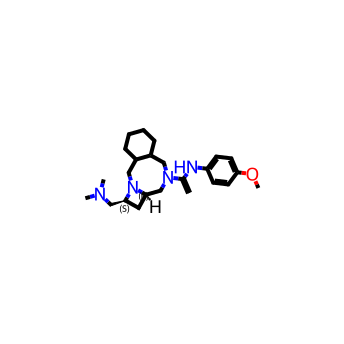 C=C(Nc1ccc(OC)cc1)N1CC2CCCCC2CN2[C@H](C[C@H]2CN(C)C)C1